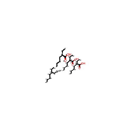 CCCCC(CC)C(=O)O.CCCCC(CC)C(=O)O.CCCCC(CC)C(=O)O.CCCCC(CC)[CH2][SnH]